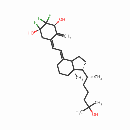 C=C1/C(=C\C=C2CCC[C@@]3(C)C2CC[C@@H]3[C@H](C)CCCC(C)(C)O)C[C@](O)(F)C(F)(F)[C@H]1O